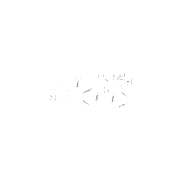 CN1CCC(C(=O)c2cccc(N(C(N)=O)c3ccccc3O)c2)CC1